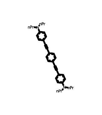 CCCN(CCC)c1ccc(C#Cc2ccc(C#Cc3ccc(N(CCC)CCC)cc3)cc2)cc1